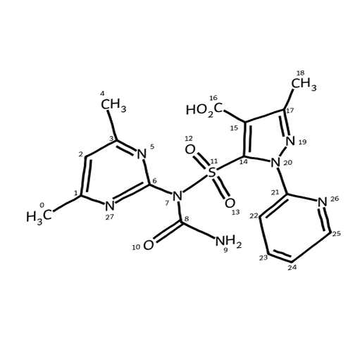 Cc1cc(C)nc(N(C(N)=O)S(=O)(=O)c2c(C(=O)O)c(C)nn2-c2ccccn2)n1